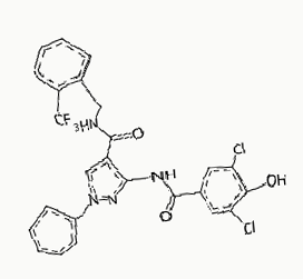 O=C(Nc1nn(-c2ccccc2)cc1C(=O)NCc1ccccc1C(F)(F)F)c1cc(Cl)c(O)c(Cl)c1